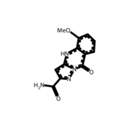 COc1cccc2c(=O)n3nc(C(N)=O)cc3[nH]c12